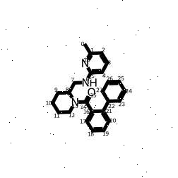 Cc1cccc(NCC2CCCCN2C(=O)c2ccccc2C2C=CC=CC2)n1